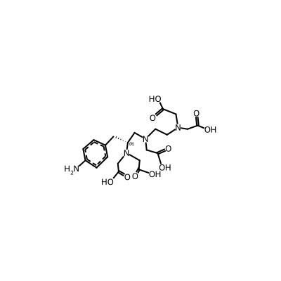 Nc1ccc(C[C@H](CN(CCN(CC(=O)O)CC(=O)O)CC(=O)O)N(CC(=O)O)CC(=O)O)cc1